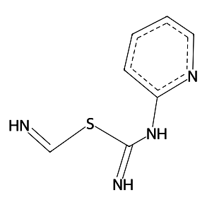 N=CSC(=N)Nc1ccccn1